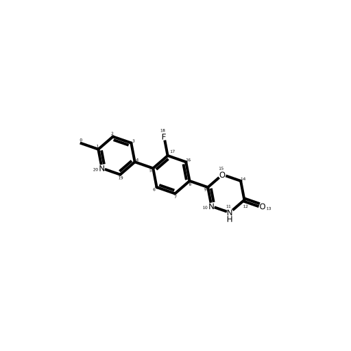 Cc1ccc(-c2ccc(C3=NNC(=O)CO3)cc2F)cn1